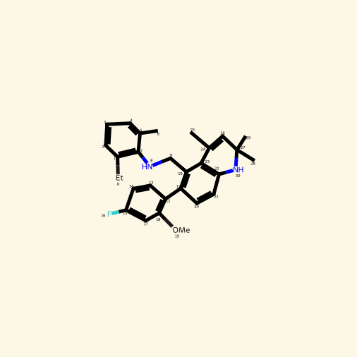 CCc1cccc(C)c1NCc1c(-c2ccc(F)cc2OC)ccc2c1C(C)=CC(C)(C)N2